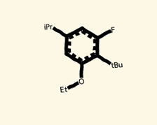 CCOc1cc(C(C)C)cc(F)c1C(C)(C)C